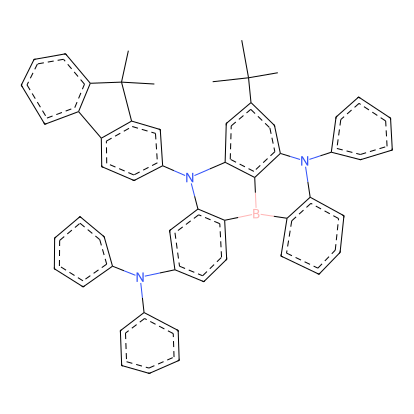 CC(C)(C)c1cc2c3c(c1)N(c1ccc4c(c1)C(C)(C)c1ccccc1-4)c1cc(N(c4ccccc4)c4ccccc4)ccc1B3c1ccccc1N2c1ccccc1